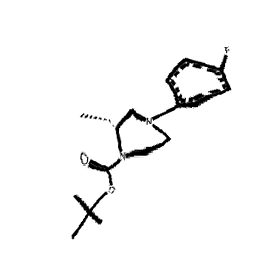 C[C@@H]1CN(c2ccc(F)cc2)CCN1C(=O)OC(C)(C)C